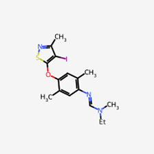 CCN(C)C=Nc1cc(C)c(Oc2snc(C)c2I)cc1C